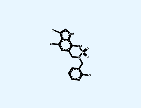 O=S1(=O)Nc2c(cc(Cl)c3c(Cl)c[nH]c23)CN1Cc1cccnc1Cl